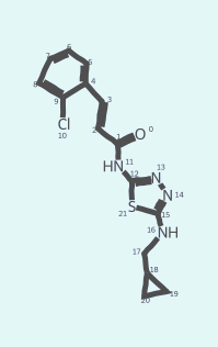 O=C(/C=C/c1ccccc1Cl)Nc1nnc(NCC2CC2)s1